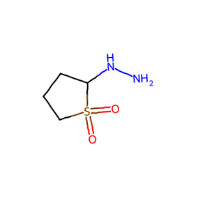 NNC1CCCS1(=O)=O